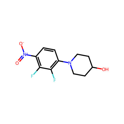 O=[N+]([O-])c1ccc(N2CCC(O)CC2)c(F)c1F